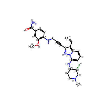 C=Cc1c(C#CCNc2ccc(C(N)=O)cc2OC)nn2c(N[C@@H]3CCN(C)C[C@@H]3F)cccc12